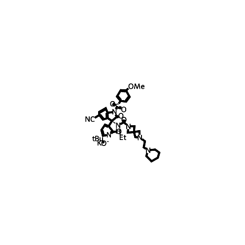 CC(C)(C)[O-].CCOc1ncccc1[C@]1(NC(=O)N2CC3(CN(CCN4CCCCC4)C3)C2)C(=O)N(S(=O)(=O)c2ccc(OC)cc2)c2ccc(C#N)cc21.[K+]